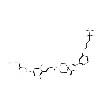 Cc1cc(OCC(O)CO)cc(C)c1C=CS(=O)(=O)N1CCC2(CC1)N=C(c1cccc(OCCCC(F)(F)C(F)(F)F)c1)NC2=O